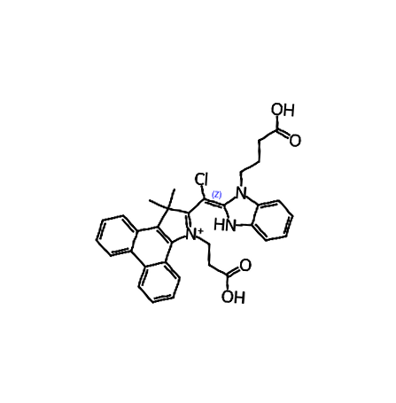 CC1(C)C(/C(Cl)=C2\Nc3ccccc3N2CCCC(=O)O)=[N+](CCC(=O)O)c2c1c1ccccc1c1ccccc21